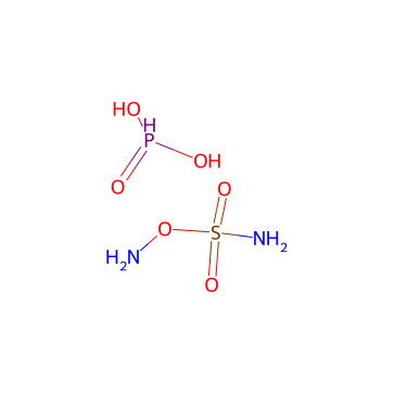 NOS(N)(=O)=O.O=[PH](O)O